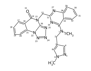 CN(Cc1cnn(C)c1)c1nc(Cn2c(=O)c3ccccc3n3nnnc23)nc2ccccc12